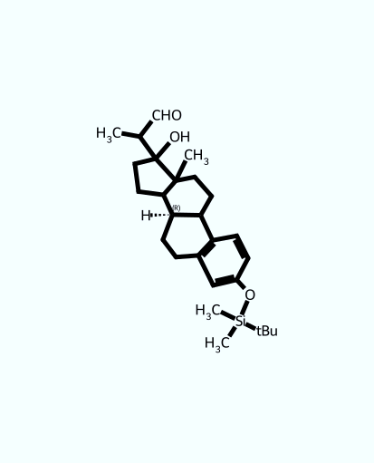 CC(C=O)C1(O)CCC2[C@@H]3CCc4cc(O[Si](C)(C)C(C)(C)C)ccc4C3CCC21C